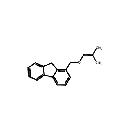 CC(C)COCc1cccc2c1Cc1ccccc1-2